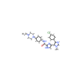 CC(C)n1cnc(-c2ccc(Cl)cc2)c1-c1c[nH]c(C(=O)Nc2ccc(N3CCN(C)CC3)cc2)n1